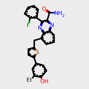 CCc1cc(-c2ccc(Cc3cccc4nc(C(N)=O)c(-c5ccccc5F)nc34)s2)ccc1O